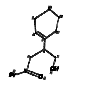 CC(C)C(=O)CC(CO)C1=CCCCC1